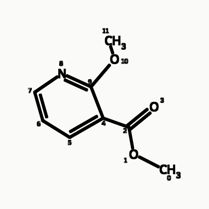 COC(=O)c1cccnc1OC